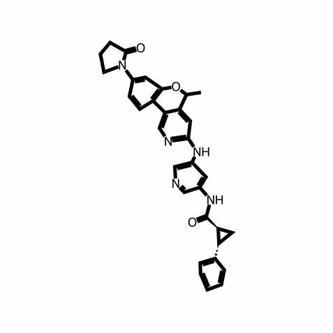 CC1Oc2cc(N3CCCC3=O)ccc2-c2cnc(Nc3cncc(NC(=O)[C@H]4C[C@@H]4c4ccccc4)c3)cc21